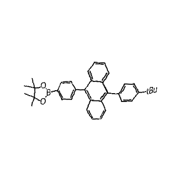 CC(C)(C)c1ccc(-c2c3ccccc3c(-c3ccc(B4OC(C)(C)C(C)(C)O4)cc3)c3ccccc23)cc1